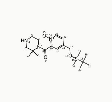 CC1(C)CNCCN1C(=O)c1cc(CO[Si](C)(C)C(C)(C)C)cc[n+]1[O-]